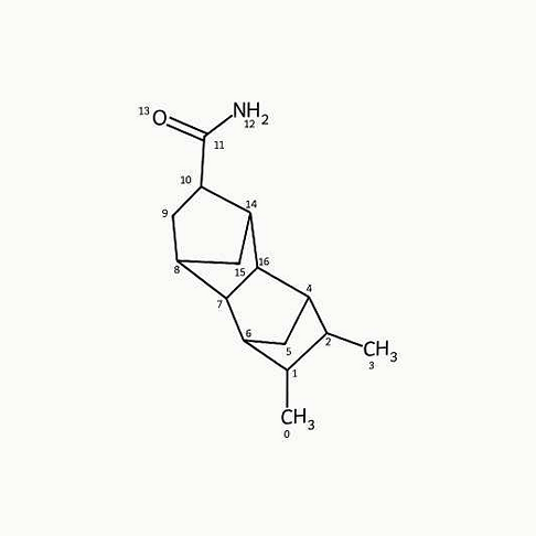 CC1C(C)C2CC1C1C3CC(C(N)=O)C(C3)C21